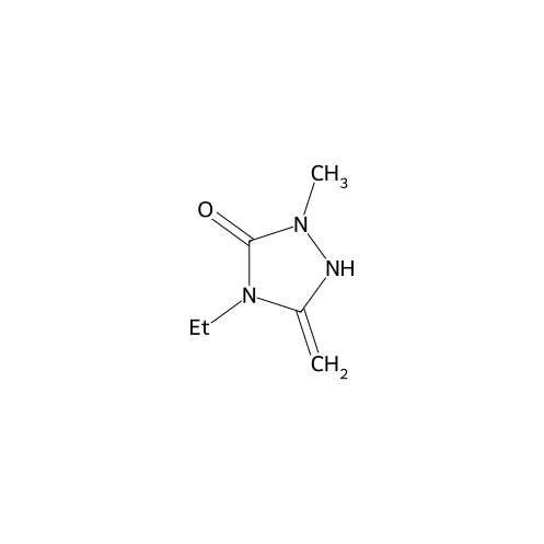 C=C1NN(C)C(=O)N1CC